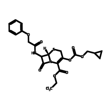 O=C(COc1ccccc1)NC1C(=O)N2C(C(=O)OCC(Cl)(Cl)Cl)=C(OC(=O)OCC3CC3)CS[C@@H]12